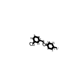 [CH2]c1ccc(OCc2cccc(Cl)c2)cc1